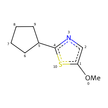 COc1cnc(C2CCCC2)s1